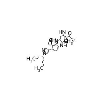 CCCCC(CCC)n1cc(-c2cccc(N/C(=C/C(=N)NC(=O)C3CC3)C(C)=N)c2OC)cn1